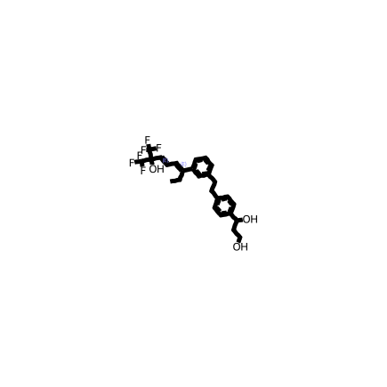 CC/C(=C\C=C\C(O)(C(F)(F)F)C(F)(F)F)c1cccc(CCc2ccc(C(O)CCO)cc2)c1